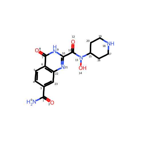 NC(=O)c1ccc2c(=O)[nH]c(C(=O)N(O)C3CCNCC3)nc2c1